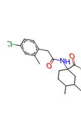 COC(=O)C1(NC(=O)Cc2ccc(Cl)cc2C)CCC(C)C(C)C1